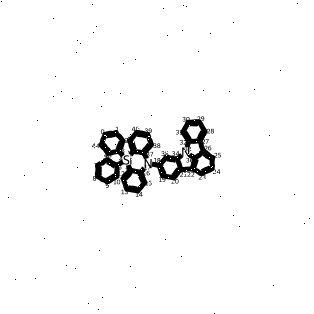 c1ccc([Si]2(c3ccccc3)c3ccccc3N(c3ccc4c5cccc6c7ccccc7n(c4c3)c65)c3ccccc32)cc1